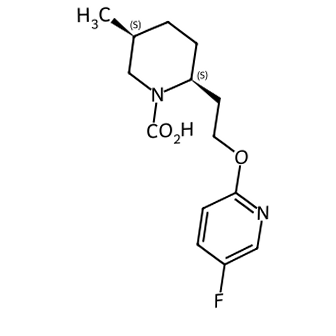 C[C@H]1CC[C@@H](CCOc2ccc(F)cn2)N(C(=O)O)C1